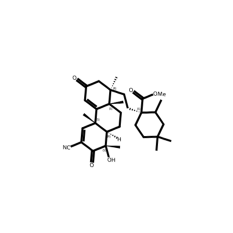 COC(=O)[C@]1(CC[C@]2(C)CC(=O)C=C3[C@@]4(C)C=C(C#N)C(=O)[C@@](C)(O)[C@@H]4CC[C@]32C)CCC(C)(C)CC1C